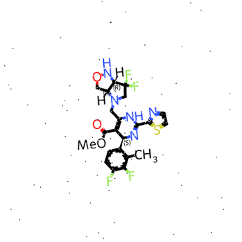 COC(=O)C1=C(CN2CC(F)(F)[C@@H]3NOC[C@@H]32)NC(c2nccs2)=N[C@H]1c1ccc(F)c(F)c1C